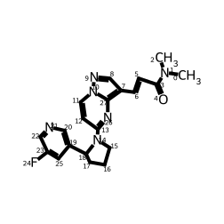 CN(C)C(=O)/C=C/c1cnn2ccc(N3CCCC3c3cncc(F)c3)nc12